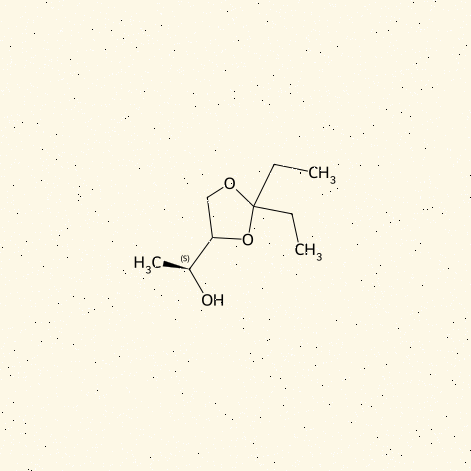 CCC1(CC)OCC([C@H](C)O)O1